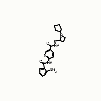 Nc1ccccc1C(=O)Nc1ccc(C(=O)NCC2CCN2C2CCCC2)cn1